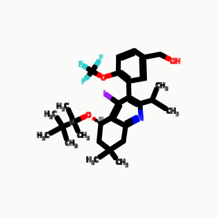 CC(C)c1nc2c(c(I)c1-c1cc(CO)ccc1OC(F)(F)F)[C@@H](O[Si](C)(C)C(C)(C)C)CC(C)(C)C2